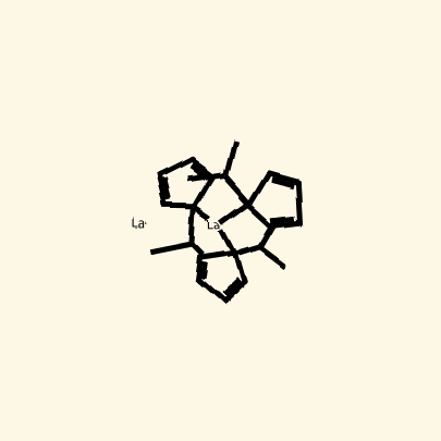 CC(C)[C]1([La]([C]2(C(C)C)C=CC=C2)[C]2(C(C)C)C=CC=C2)C=CC=C1.[La]